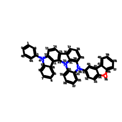 c1ccc(-n2c3ccccc3c3c2ccc2c4cccc5c4n(c23)-c2ccccc2N5c2ccc3oc4ccccc4c3c2)cc1